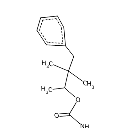 CC(OC(N)=O)C(C)(C)Cc1ccccc1